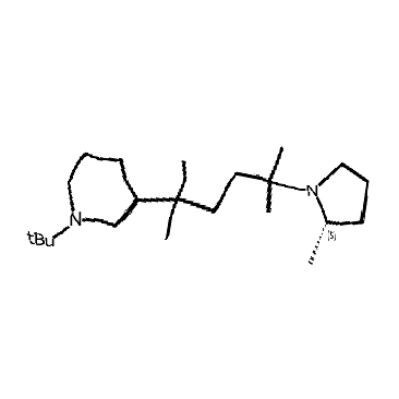 C[C@H]1CCCN1C(C)(C)CCC(C)(C)C1CCCN(C(C)(C)C)C1